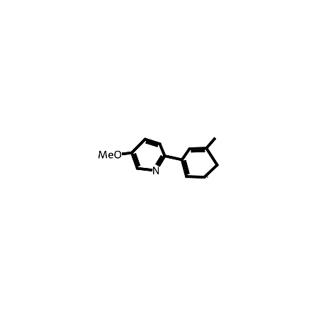 COc1ccc(C2=C[CH]CC(C)=C2)nc1